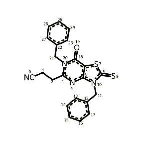 N#CCCc1nc2c(sc(=S)n2Cc2ccccc2)c(=O)n1Cc1ccccc1